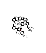 COc1ccccc1-c1nccc(COc2ccccc2C[C@@H](Oc2nsc3cnc(-c4ccn(CC(C)C)n4)c(C4=C(C)C(Cl)=C(OCCN5CCN(C)CC5)CC4)c23)C(=O)O)n1